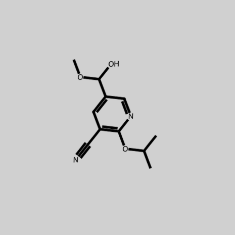 COC(O)c1cnc(OC(C)C)c(C#N)c1